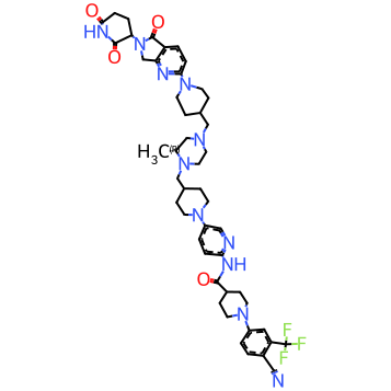 C[C@@H]1CN(CC2CCN(c3ccc4c(n3)CN(C3CCC(=O)NC3=O)C4=O)CC2)CCN1CC1CCN(c2ccc(NC(=O)C3CCN(c4ccc(C#N)c(C(F)(F)F)c4)CC3)nc2)CC1